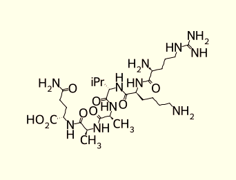 CC(C)[C@H](NC(=O)[C@H](CCCCN)NC(=O)[C@@H](N)CCCNC(=N)N)C(=O)N[C@@H](C)C(=O)N[C@@H](C)C(=O)N[C@@H](CCC(N)=O)C(=O)O